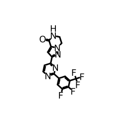 O=C1NCCn2nc(-c3ccnc(-c4cc(F)c(F)c(C(F)(F)F)c4)n3)cc21